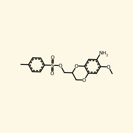 COc1cc2c(cc1N)OC(COS(=O)(=O)c1ccc(C)cc1)CO2